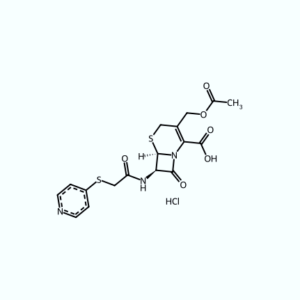 CC(=O)OCC1=C(C(=O)O)N2C(=O)[C@@H](NC(=O)CSc3ccncc3)[C@H]2SC1.Cl